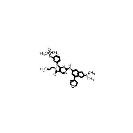 C=CCn1c(=O)c2cnc(Nc3cc4c(c(C5=CCOCC5)c3)CC(N(C)C)C4)nc2n1-c1cccc(N=S(C)(C)=O)n1